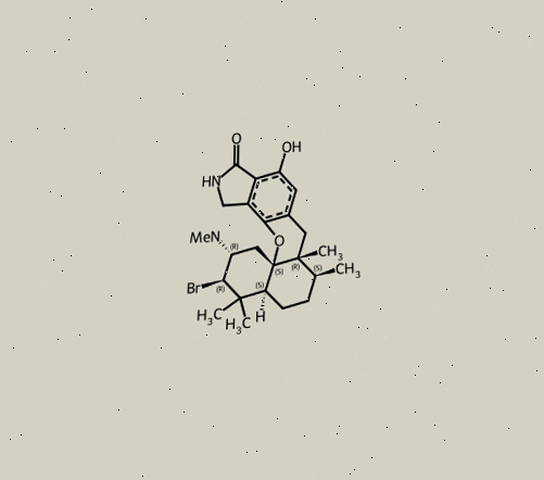 CN[C@@H]1C[C@@]23Oc4c(cc(O)c5c4CNC5=O)C[C@]2(C)[C@@H](C)CC[C@H]3C(C)(C)[C@H]1Br